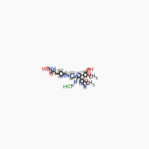 COc1ccc(-c2cnc(N3CCC(NCc4ccc(/C=C/C(=O)NO)cc4)CC3)c(C#N)c2-c2cnc(C#N)c(OC)c2)cc1O.Cl